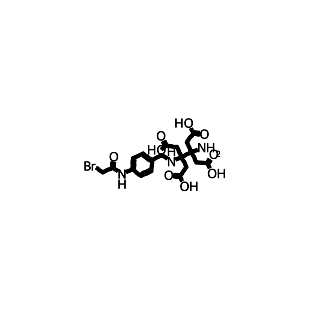 NC(CC(=O)O)(CC(=O)O)C(CC(=O)O)(CC(=O)O)NCc1ccc(NC(=O)CBr)cc1